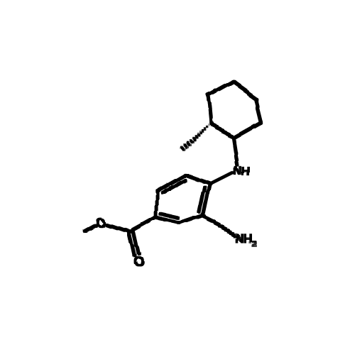 COC(=O)c1ccc(NC2CCCC[C@H]2C)c(N)c1